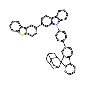 c1ccc2c(c1)-c1ccc(-c3ccc(-n4c5ccccc5c5ccc(-c6ccc7sc8ccccc8c7c6)cc54)cc3)cc1C21C2CC3CC(C2)CC1C3